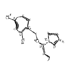 CC=[N+](OCc1ccc(Cl)cc1Cl)n1ccnc1